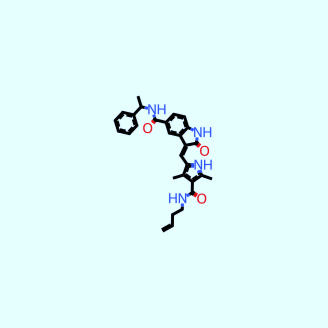 C=CCCNC(=O)c1c(C)[nH]c(/C=C2\C(=O)Nc3ccc(C(=O)NC(C)c4ccccc4)cc32)c1C